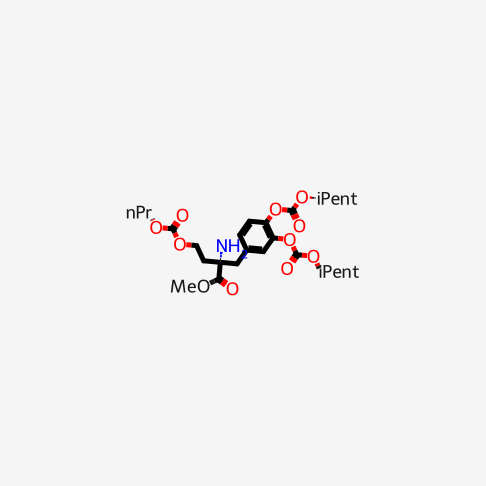 CCCOC(=O)OCC[C@@](N)(Cc1ccc(OC(=O)O[C@@H](C)CCC)c(OC(=O)OC(C)CCC)c1)C(=O)OC